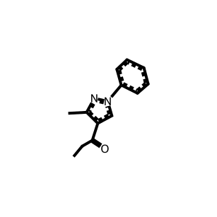 CCC(=O)c1cn(-c2ccccc2)nc1C